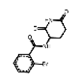 O=C1CCC(NC(=O)c2ccccc2Br)C(=O)N1